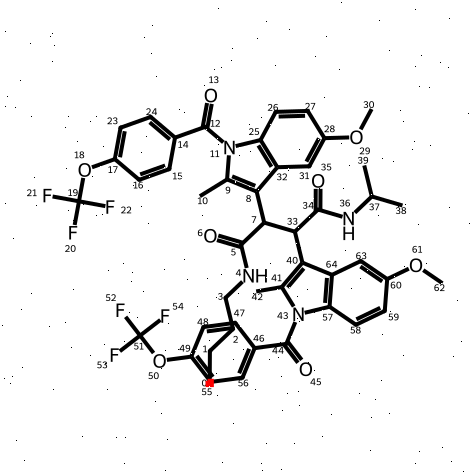 CCCCNC(=O)C(c1c(C)n(C(=O)c2ccc(OC(F)(F)F)cc2)c2ccc(OC)cc12)C(C(=O)NC(C)C)c1c(C)n(C(=O)c2ccc(OC(F)(F)F)cc2)c2ccc(OC)cc12